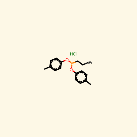 Cc1ccc(OP(CCC(C)C)Oc2ccc(C)cc2)cc1.Cl